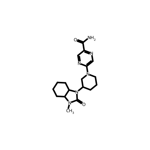 CN1C(=O)N(C2CCCN(c3cnc(C(N)=O)cn3)C2)C2CCCCC21